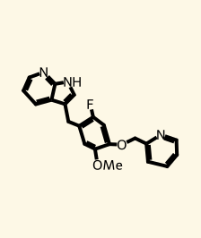 COc1cc(Cc2c[nH]c3ncccc23)c(F)cc1OCc1ccccn1